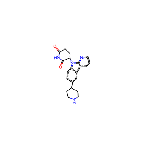 O=C1CCC(n2c3ccc(C4CCNCC4)cc3c3cccnc32)C(=O)N1